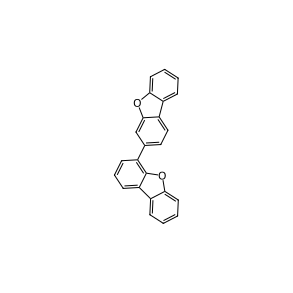 c1ccc2c(c1)oc1cc(-c3cccc4c3oc3ccccc34)ccc12